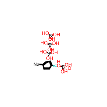 Fc1cc[c]([Na])cc1.O.OB(O)O.OB(O)O.OB(O)O.OB(O)O